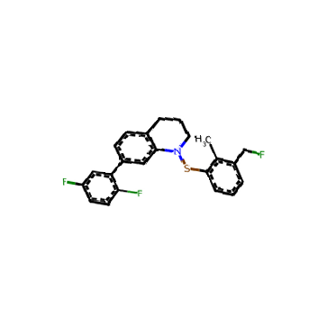 Cc1c(CF)cccc1SN1CCCc2ccc(-c3cc(F)ccc3F)cc21